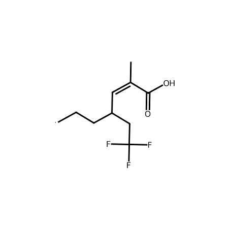 [CH2]CCC(C=C(C)C(=O)O)CC(F)(F)F